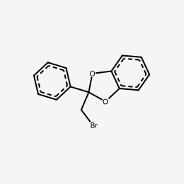 BrCC1(c2ccccc2)Oc2ccccc2O1